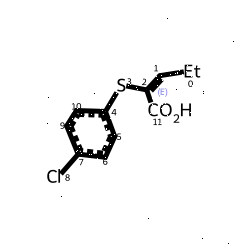 CC/C=C(/Sc1ccc(Cl)cc1)C(=O)O